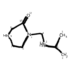 CC(C)NCN1CCNCC1=O